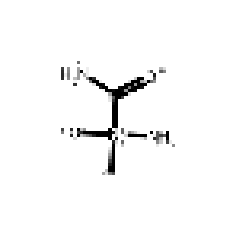 C[N+](N)([O-])C(N)=O